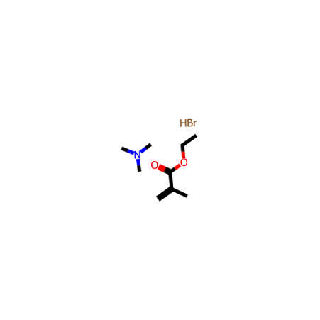 Br.C=C(C)C(=O)OCC.CN(C)C